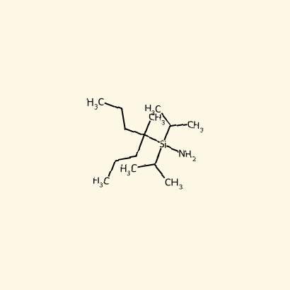 CCCC(C)(CCC)[Si](N)(C(C)C)C(C)C